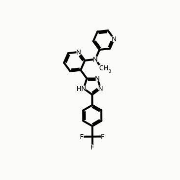 CN(c1cccnc1)c1ncccc1-c1nnc(-c2ccc(C(F)(F)F)cc2)[nH]1